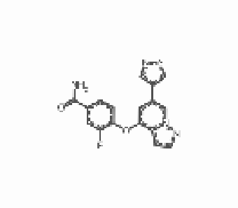 NC(=O)c1ccc(Oc2cc(-c3cnsc3)cn3nccc23)c(F)c1